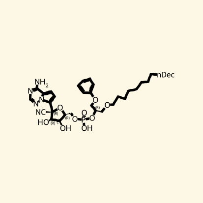 CCCCCCCCCCCCCCCCCCOC[C@H](COc1ccccc1)OP(=O)(O)OC[C@H]1O[C@@](C#N)(c2ccc3c(N)ncnn23)[C@H](O)[C@@H]1O